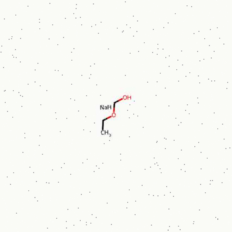 CCOCO.[NaH]